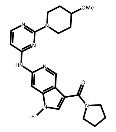 COC1CCN(c2nccc(Nc3cc4c(cn3)c(C(=O)N3CCCC3)cn4C(C)C)n2)CC1